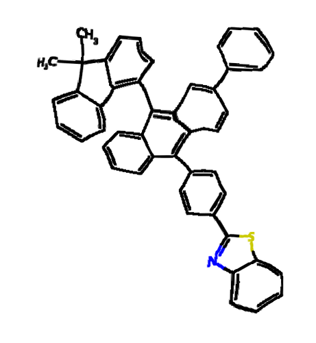 CC1(C)c2ccccc2-c2c(-c3c4ccccc4c(-c4ccc(-c5nc6ccccc6s5)cc4)c4ccc(-c5ccccc5)cc34)cccc21